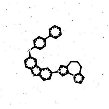 c1ccc(-c2ccc(Oc3ccc4sc5ccc(-n6cc7c(c6)-n6nccc6CCC7)cc5c4c3)cc2)cc1